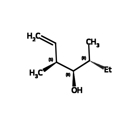 C=C[C@H](C)[C@H](O)[C@H](C)CC